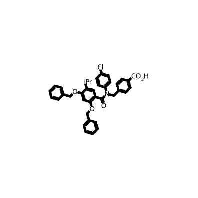 CC(C)c1cc(C(=O)N(Cc2ccc(C(=O)O)cc2)c2ccc(Cl)cc2)c(OCc2ccccc2)cc1OCc1ccccc1